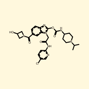 CC(C)N1CCC(NC(=O)Oc2nc3ccc(C(=O)N4CC(O)C4)cc3n2CC(=O)Nc2ccc(Cl)cn2)CC1